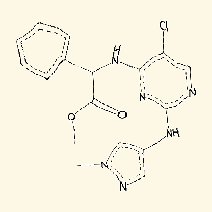 COC(=O)C(Nc1nc(Nc2cnn(C)c2)ncc1Cl)c1ccccc1